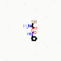 N[C@@H](CS)C(=O)OC(=O)Nc1ccccc1